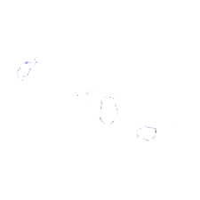 Cc1cccc(CCc2ccc(OC(=O)N3CCC(CSc4ncc[nH]4)CC3)cc2)n1